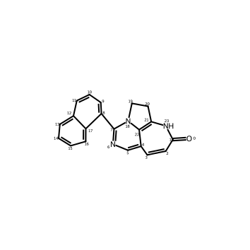 O=C1C=CC2=CN=C(c3cccc4ccccc34)N3CCC(=C23)N1